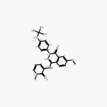 COc1ccc2c(Nc3cccn(C)c3=O)nn(-c3ccc(OC(F)(F)F)cc3)c(=O)c2c1